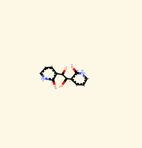 O=C(C(=O)c1ccc[nH]c1=O)c1ccc[nH]c1=O